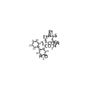 C=CC(=O)O.C=CC(=O)O.CCSC(=S)N(CC)CC.O.c1ccc(-c2ccccc2)cc1